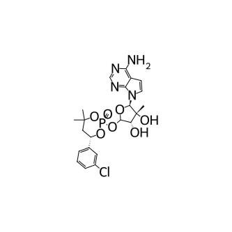 CC1(C)C[C@@H](c2cccc(Cl)c2)O[P@@](=O)(OC2O[C@@H](n3ccc4c(N)ncnc43)[C@](C)(O)[C@@H]2O)O1